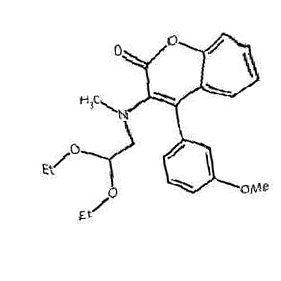 CCOC(CN(C)c1c(-c2cccc(OC)c2)c2ccccc2oc1=O)OCC